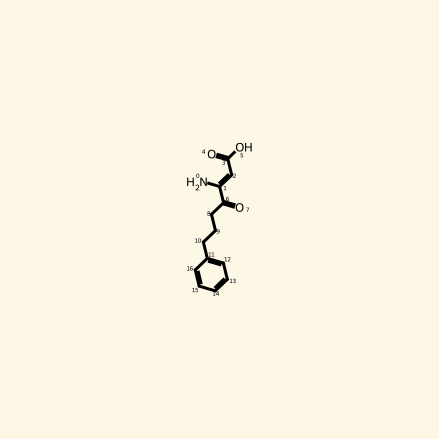 NC(=CC(=O)O)C(=O)CCCc1ccccc1